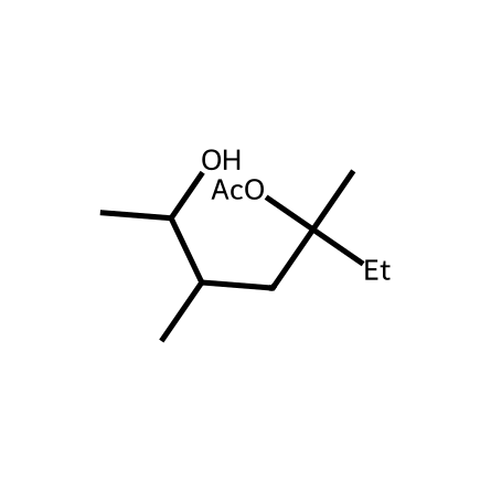 CCC(C)(CC(C)C(C)O)OC(C)=O